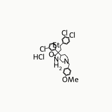 CCC(CC(C(N)=O)(c1cccc(Cl)c1)C1CCN(Cc2ccc(OC)cc2)CC1)c1ccc(Cl)c(Cl)c1.Cl